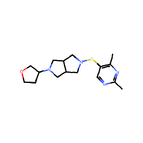 Cc1ncc(SN2CC3CN(C4CCOC4)CC3C2)c(C)n1